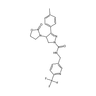 Cc1ccc(C2=NN(C(=O)NCc3ccc(C(F)(F)F)nc3)CC2N2CCOC2=O)cc1